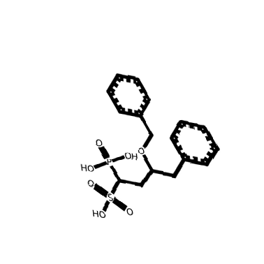 O=P(O)(O)C(CC(Cc1ccccc1)OCc1ccccc1)S(=O)(=O)O